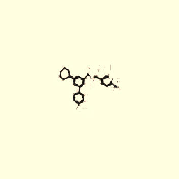 Cc1ccc(-c2cc(C(=O)N[C@H](CO)c3ccc(C(F)(F)F)nc3)cc(C3CCCCC3)c2)cc1